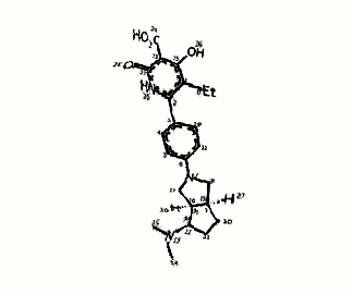 CCc1c(-c2ccc(N3C[C@H]4CC[C@@H](N(C)C)[C@H]4C3)cc2)[nH]c(=O)c(C(=O)O)c1O